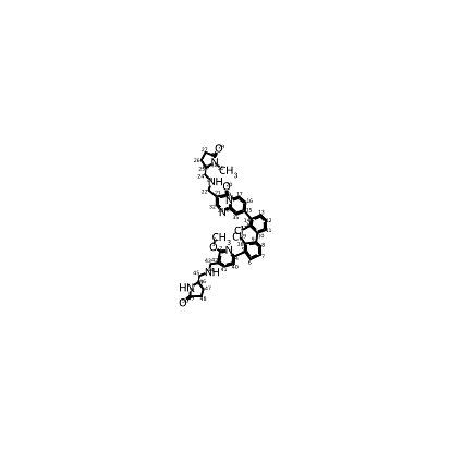 COc1nc(-c2cccc(-c3cccc(-c4ccn5c(=O)c(CNC[C@H]6CCC(=O)N6C)cnc5c4)c3Cl)c2Cl)ccc1CNC[C@H]1CCC(=O)N1